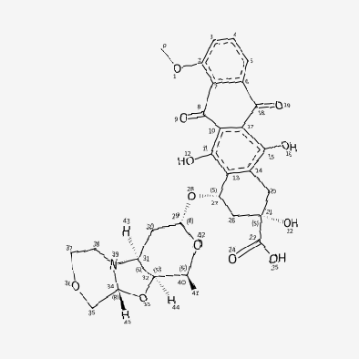 COc1cccc2c1C(=O)c1c(O)c3c(c(O)c1C2=O)C[C@@](O)(C(=O)O)C[C@@H]3O[C@H]1C[C@H]2[C@H](O[C@@H]3COCCN32)[C@H](C)O1